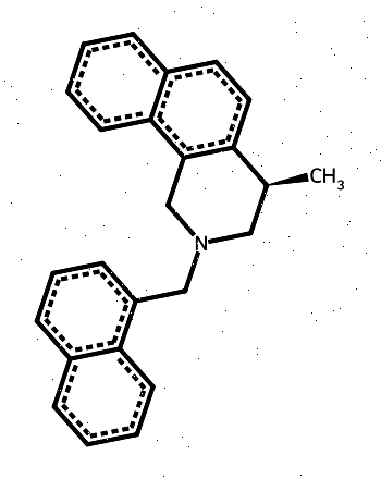 C[C@H]1CN(Cc2cccc3ccccc23)Cc2c1ccc1ccccc21